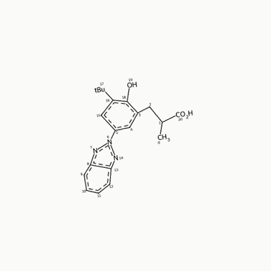 CC(Cc1cc(-n2nc3ccccc3n2)cc(C(C)(C)C)c1O)C(=O)O